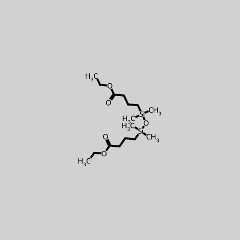 CCOC(=O)CCC[Si](C)(C)O[Si](C)(C)CCCC(=O)OCC